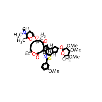 CC[C@H]1CCC[C@H](O[C@H]2CC[C@H](N(C)C)C(C)O2)[C@@H](C)C(=O)C2=C[C@H]3[C@@H]4C[C@H](O[C@@H]5OC(C)[C@H](OC)C(OC)C5OC)C[C@H]4c4sc(-c5cccc(OC)c5)nc4[C@H]3[C@@H]2CC(=O)O1